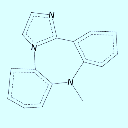 CN1c2ccccc2-c2nccn2-c2ccccc21